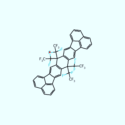 FC(F)(F)C(F)(F)C1(C(F)(F)C(F)(F)F)c2cc3c(cc2C(C(F)(F)C(F)(F)F)(C(F)(F)C(F)(F)F)c2cc4c(cc21)-c1cccc2cccc-4c12)-c1cccc2cccc-3c12